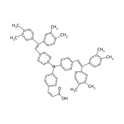 Cc1ccc(C(=Cc2ccc(N(c3ccc(C=C(c4ccc(C)c(C)c4)c4ccc(C)c(C)c4)cc3)c3ccc(/C=C\C(=O)O)cc3)cc2)c2ccc(C)c(C)c2)cc1C